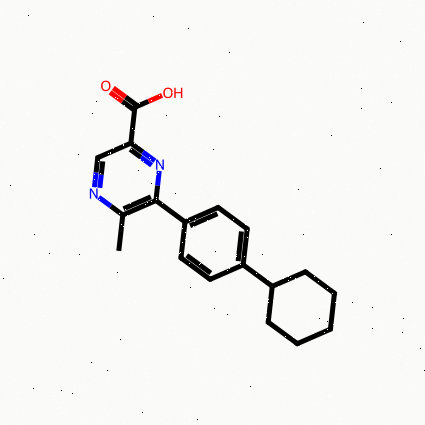 Cc1ncc(C(=O)O)nc1-c1ccc(C2CCCCC2)cc1